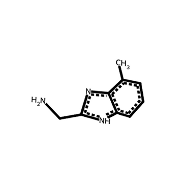 Cc1cccc2[nH]c(CN)nc12